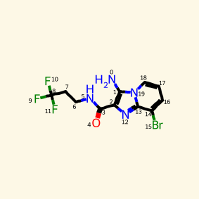 Nc1c(C(=O)NCCC(F)(F)F)nc2c(Br)cccn12